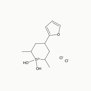 C[CH]1CC(c2ccco2)C[CH](C)[Ti+2]1([OH])[OH].[Cl-].[Cl-]